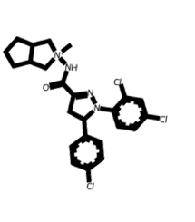 C[N+]1(NC(=O)C2=NN(c3ccc(Cl)cc3Cl)C(c3ccc(Cl)cc3)C2)CC2CCCC2C1